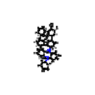 Cc1ccc2c(c1)C1(c3ccccc3-c3ccccc31)c1cc(N3c4ccccc4N(c4ccccc4)c4ccccc43)ccc1-2